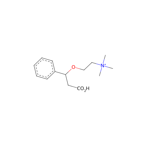 C[N+](C)(C)CCOC(CC(=O)O)c1ccccc1